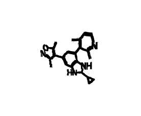 Cc1ccnc(C)c1-c1cc(-c2c(C)noc2C)cc2c1NC(C1CC1)N2